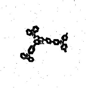 CCC(CC(CC(C)n1c2ccccc2c2ccccc21)c1ccc(-c2ccc(-n3c4ccccc4c4ccccc43)cc2)cc1)c1ccc(-c2ccc(N(c3ccc(C)cc3)c3ccc(C)cc3)cc2)cc1